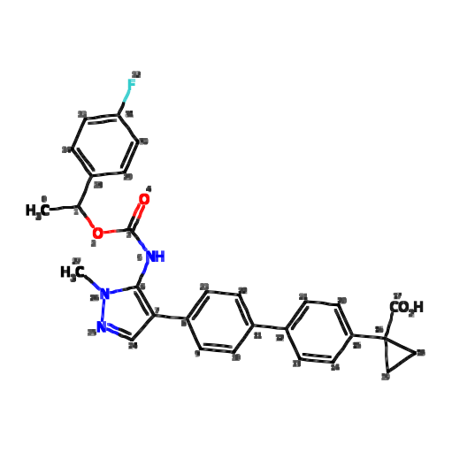 CC(OC(=O)Nc1c(-c2ccc(-c3ccc(C4(C(=O)O)CC4)cc3)cc2)cnn1C)c1ccc(F)cc1